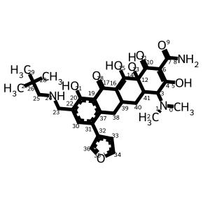 CN(C)C1C(O)=C(C(N)=O)C(=O)C2(O)C(O)=C3C(=O)c4c(O)c(CNCC(C)(C)C)cc(-c5ccoc5)c4CC3CC12